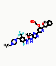 CCN1CCN(Cc2cc(F)c(NC(=O)Nc3cnc(-c4cnc(B(Cc5ccccc5)OC)c(OCCO)c4)nc3C)cc2C(F)(F)F)CC1